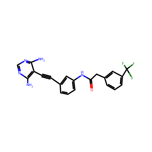 Nc1ncnc(N)c1C#Cc1cccc(NC(=O)Cc2cccc(C(F)(F)F)c2)c1